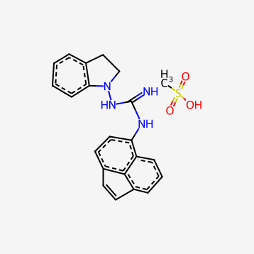 CS(=O)(=O)O.N=C(Nc1ccc2c3c(cccc13)C=C2)NN1CCc2ccccc21